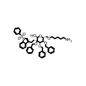 NCCCCCOC[C@H]1O[C@H](O)[C@](CCc2cn(S(=O)(=O)c3ccccc3)c3ccccc23)(OCc2ccccc2)[C@@H](OCc2ccccc2)[C@@H]1OCc1ccccc1